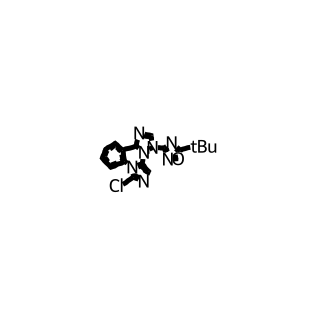 CC(C)(C)c1nc(N2C=NC3c4ccccc4-n4c(cnc4Cl)N32)no1